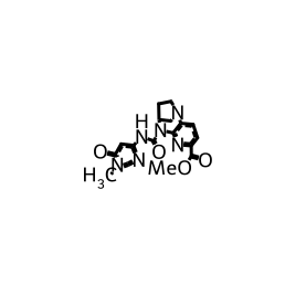 COC(=O)c1ccc2c(n1)N(C(=O)Nc1cc(=O)n(C)cn1)C1CCN2C1